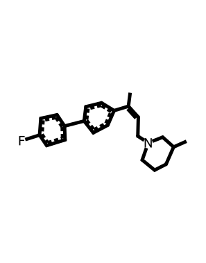 CC(=CCN1CCCC(C)C1)c1ccc(-c2ccc(F)cc2)cc1